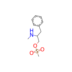 CNC(COS(C)(=O)=O)Cc1ccccc1